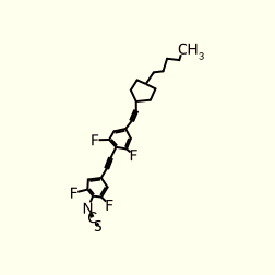 CCCCCC1CCC(C#Cc2cc(F)c(C#Cc3cc(F)c(N=C=S)c(F)c3)c(F)c2)CC1